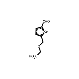 O=Cc1ccc(COCC(=O)O)[se]1